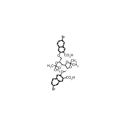 CC1(C)O[C@@H]([C@H]2OC(C)(C)O[C@@H]2COc2cc3ccc(Br)cc3cc2C(=O)O)[C@H](COc2cc3ccc(Br)cc3cc2C(=O)O)O1